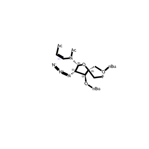 CCCCOC[C@@]1(CF)O[C@@H](N(/C=C\C(C)=O)C(C)=O)[C@@H](N=[N+]=[N-])[C@@H]1OCCCC